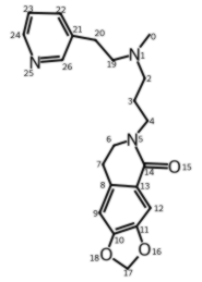 CN(CCCN1CCc2cc3c(cc2C1=O)OCO3)CCc1cccnc1